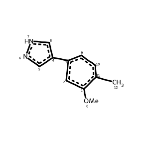 COc1cc(-c2cn[nH]c2)ccc1C